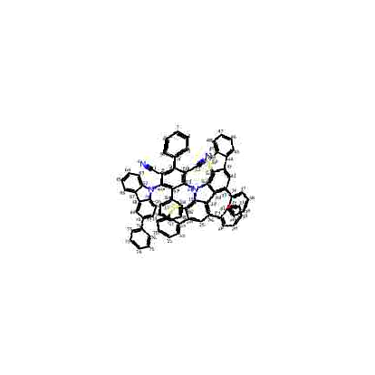 N#Cc1c(-c2ccccc2)c(C#N)c(-n2c3c4sc5ccccc5c4cc(-c4ccccc4)c3c3c(-c4ccccc4)cc4c5ccccc5sc4c32)c(-c2ccccc2)c1-n1c2ccccc2c2cc(-c3ccccc3)ccc21